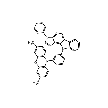 Cc1ccc2c(c1)Oc1cc(C)ccc1N2c1cccc(-n2c3ccccc3c3ccc4c(ccn4-c4ccccc4)c32)c1